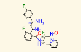 N=C(/C=C(\N)c1ccc(F)cc1)c1c(F)cccc1C(=O)N[C@@H](Cc1ccccn1)[C@H](F)CN=O